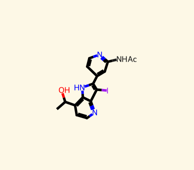 CC(=O)Nc1cc(-c2[nH]c3c(C(C)O)ccnc3c2I)ccn1